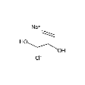 C=C.OCCO.[Cl-].[Na+]